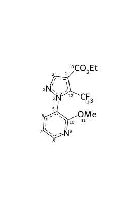 CCOC(=O)c1cnn(-c2cccnc2OC)c1C(F)(F)F